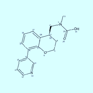 CN(C[C@H]1CCOc2c(-c3cccnc3)cccc21)C(=O)O